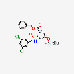 CC(C)(C)[Si](C)(C)O[C@@H]1C[C@@H](C(=O)OCc2ccccc2)N(C(=O)Nc2cc(Cl)cc(Cl)c2)C1